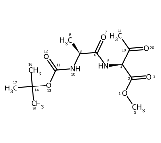 COC(=O)[C@@H](NC(=O)[C@H](C)NC(=O)OC(C)(C)C)C(C)=O